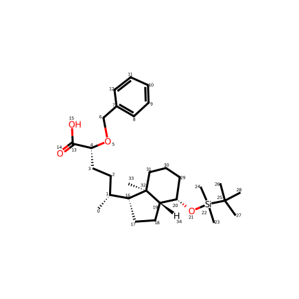 C[C@H](CC[C@@H](OCc1ccccc1)C(=O)O)[C@H]1CC[C@H]2[C@@H](O[Si](C)(C)C(C)(C)C)CCC[C@]12C